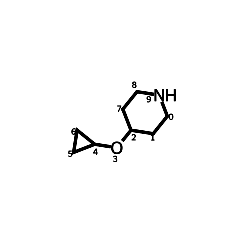 C1CC(OC2CC2)CCN1